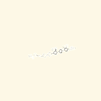 C/C=C/CCC1CCC(C2CCC(c3ccc(-c4ccc(-c5ccc(CCCC)c(F)c5F)cc4)c(F)c3F)CC2)CC1